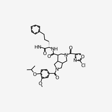 CNC(=O)[C@H](CCCc1ccccc1)NC(=O)C1CN(C(=O)c2coc(Cl)n2)CC2CN(C(=O)c3ccc(OC(C)C)c(OC)c3)CC21